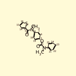 CN(C(=O)Oc1ccc(N(C)C(=O)c2cccs2)cc1)c1ccccc1